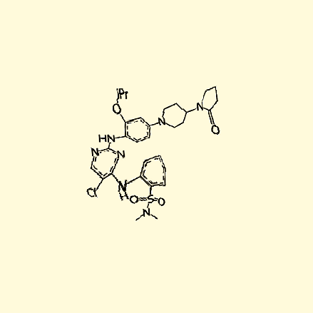 CC(C)Oc1cc(N2CCC(N3CCCC3=O)CC2)ccc1Nc1ncc(Cl)c(Nc2ccccc2S(=O)(=O)N(C)C)n1